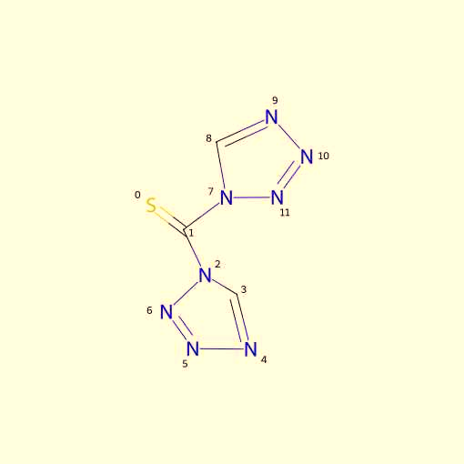 S=C(n1cnnn1)n1cnnn1